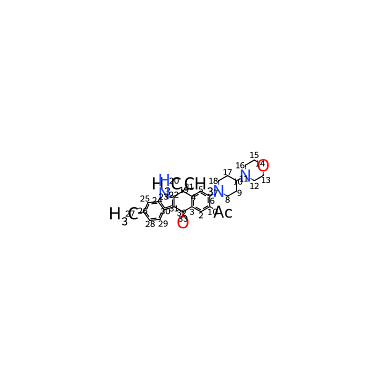 CC(=O)c1cc2c(cc1N1CCC(N3CCOCC3)CC1)C(C)(C)c1[nH]c3cc(C)ccc3c1C2=O